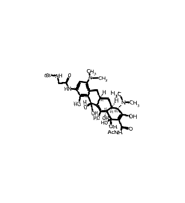 CC(=O)NC(=O)C1=C(O)[C@@H](N(C)C)[C@@H]2C[C@@H]3Cc4c(N(C)C)cc(NC(=O)CNC(C)(C)C)c(O)c4C(O)(O)C3=C(O)[C@]2(O)C1(O)O